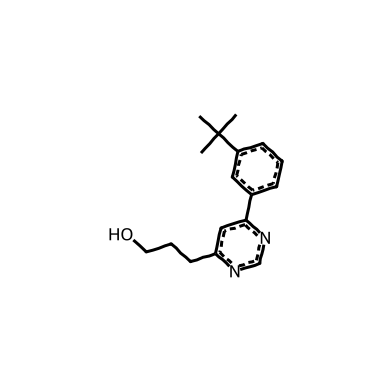 CC(C)(C)c1cccc(-c2cc(CCCO)ncn2)c1